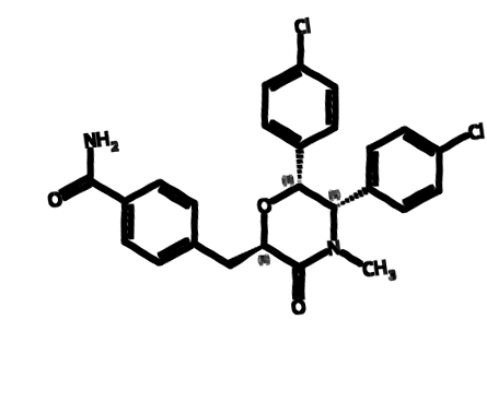 CN1C(=O)[C@@H](Cc2ccc(C(N)=O)cc2)O[C@H](c2ccc(Cl)cc2)[C@@H]1c1ccc(Cl)cc1